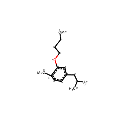 COCCCOc1cc(CC(C)C(C)=O)ccc1OC